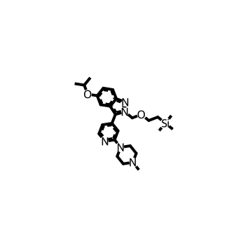 CC(C)Oc1ccc2nn(COCC[Si](C)(C)C)c(-c3ccnc(N4CCN(C)CC4)c3)c2c1